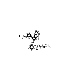 COCCOC(=O)Cc1ccccc1OCc1cc(-c2cccc(CN)c2)c2cc(C(F)(F)F)[nH]c2c1